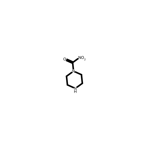 O=C(N1CCNCC1)[N+](=O)[O-]